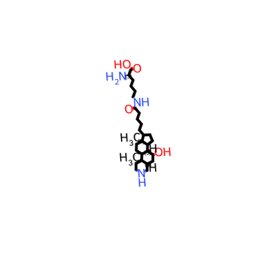 CC12CCNC[C@H]1CC(O)[C@@H]1C2CC[C@]2(C)C(CCCCC(=O)NCCCC[C@H](N)C(=O)O)CCC12